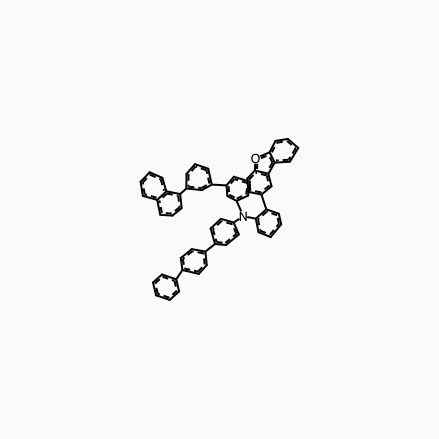 c1ccc(-c2ccc(-c3ccc(N(c4cccc(-c5cccc(-c6cccc7ccccc67)c5)c4)c4ccccc4-c4ccc5oc6ccccc6c5c4)cc3)cc2)cc1